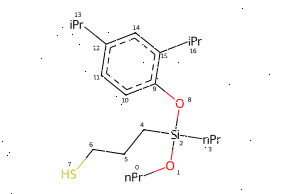 CCCO[Si](CCC)(CCCS)Oc1ccc(C(C)C)cc1C(C)C